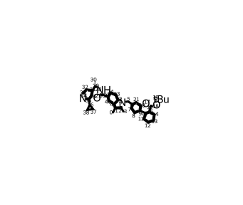 Cc1c(C)n(Cc2ccc(-c3ccccc3C(=O)OC(C)(C)C)cc2)c2ccc(C(=O)N[C@@H](C)c3ccnc(C4CC4)c3)cc12